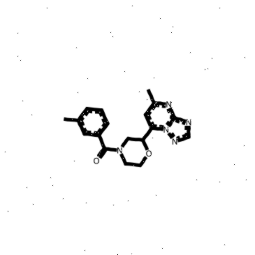 Cc1cccc(C(=O)N2CCOC(c3cc(C)nc4ncnn34)C2)c1